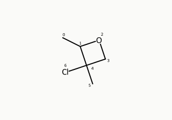 CC1OCC1(C)Cl